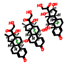 C[C@@H]1C[C@H]2[C@@H]3CCC4=CC(=O)C=C[C@]4(C)[C@@]3(F)[C@@H](O)C[C@]2(C)[C@@]1(O)C(=O)CO.C[C@H]1C[C@H]2[C@@H]3CCC4=CC(=O)C=C[C@]4(C)[C@@]3(F)[C@@H](O)C[C@]2(C)[C@@]1(O)C(=O)CO.C[C@]12C=CC(=O)C=C1CC[C@H]1[C@@H]3C[C@@H](O)[C@](O)(C(=O)CO)[C@@]3(C)C[C@H](O)[C@@]12F